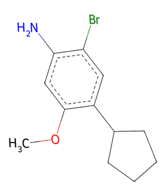 COc1cc(N)c(Br)cc1C1CCCC1